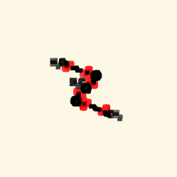 C=CC(=O)OCCCCOC(=O)Oc1ccccc1C(=O)Oc1ccc(OC(=O)c2ccccc2OC(=O)OCCCCOC(=O)C=C)c(C)c1